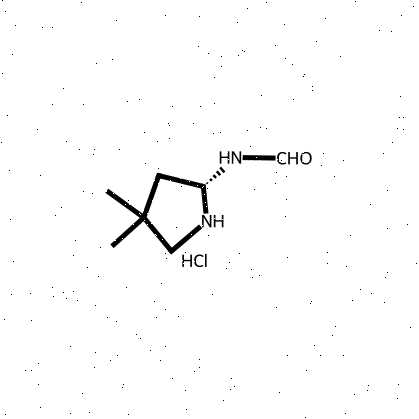 CC1(C)CN[C@@H](NC=O)C1.Cl